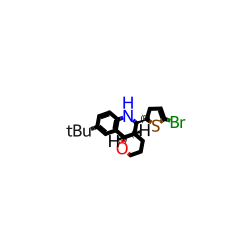 CC(C)(C)c1ccc2c(c1)[C@H]1OCCC[C@H]1C([C@H]1CC=C(Br)S1)N2